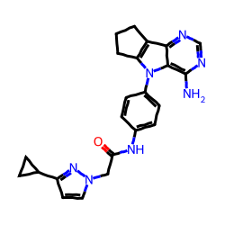 Nc1ncnc2c3c(n(-c4ccc(NC(=O)Cn5ccc(C6CC6)n5)cc4)c12)CCC3